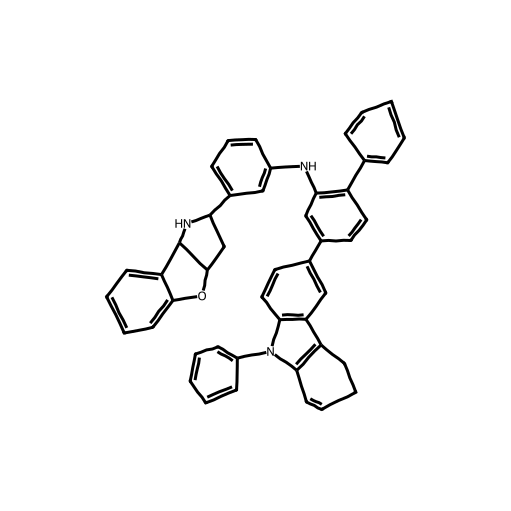 C1=Cc2c(c3cc(-c4ccc(-c5ccccc5)c(Nc5cccc(C6CC7Oc8ccccc8C7N6)c5)c4)ccc3n2-c2ccccc2)CC1